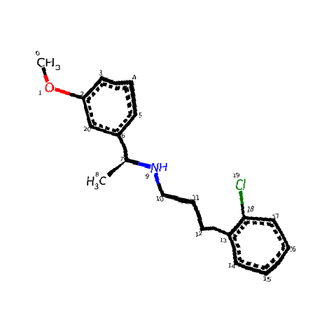 COc1cccc([C@H](C)NCCCc2ccccc2Cl)c1